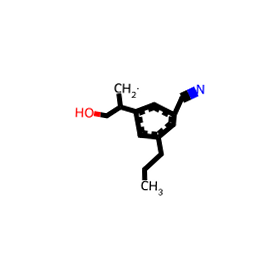 [CH2]C(CO)c1cc(C#N)cc(CCC)c1